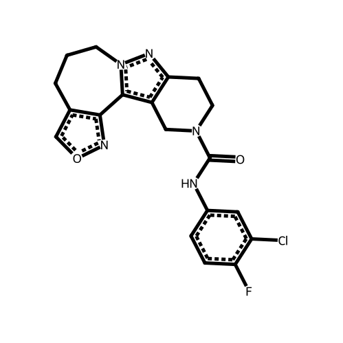 O=C(Nc1ccc(F)c(Cl)c1)N1CCc2nn3c(c2C1)-c1nocc1CCC3